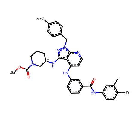 COc1ccc(Cn2nc(N[C@@H]3CCCN(C(=O)OC(C)(C)C)C3)c3c(Nc4cccc(C(=O)Nc5ccc(C(C)C)c(C)c5)c4)ccnc32)cc1